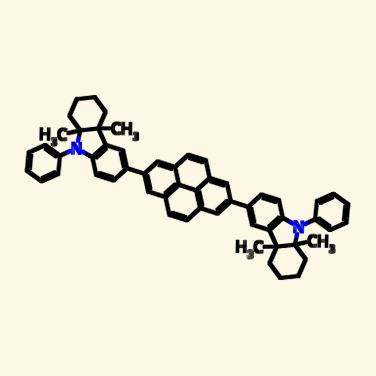 CC12CCCCC1(C)N(c1ccccc1)c1ccc(-c3cc4ccc5cc(-c6ccc7c(c6)C6(C)CCCCC6(C)N7c6ccccc6)cc6ccc(c3)c4c56)cc12